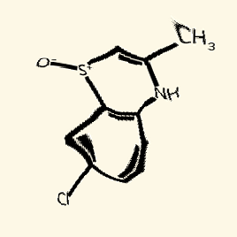 CC1=C[S+]([O-])c2cc(Cl)ccc2N1